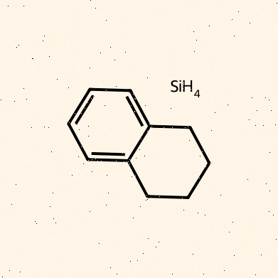 [SiH4].c1ccc2c(c1)CCCC2